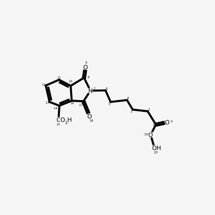 O=C(CCCCCN1C(=O)c2cccc(C(=O)O)c2C1=O)OO